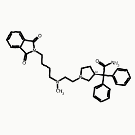 CN(CCCCN1C(=O)c2ccccc2C1=O)CCN1CC[C@@H](C(C(N)=O)(c2ccccc2)c2ccccc2)C1